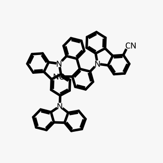 N#Cc1cccc(-n2c3ccccc3c3c(C#N)cccc32)c1-c1ccccc1-n1c2ccccc2c2cc(-n3c4ccccc4c4ccccc43)ccc21